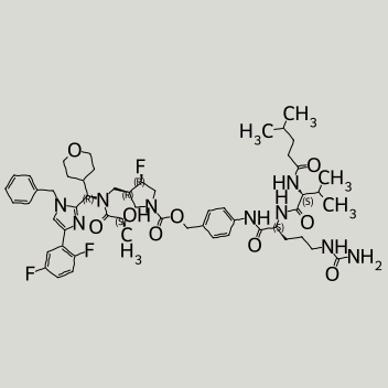 CC(C)CCC(=O)N[C@H](C(=O)N[C@@H](CCCNC(N)=O)C(=O)Nc1ccc(COC(=O)N2C[C@@H](CN(C(=O)[C@H](C)O)[C@@H](c3nc(-c4cc(F)ccc4F)cn3Cc3ccccc3)C3CCOCC3)[C@@H](F)C2)cc1)C(C)C